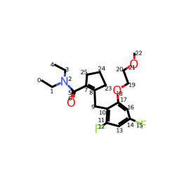 CCN(CC)C(=O)C1=C(Cc2c(F)cc(F)cc2OCCOC)CCC1